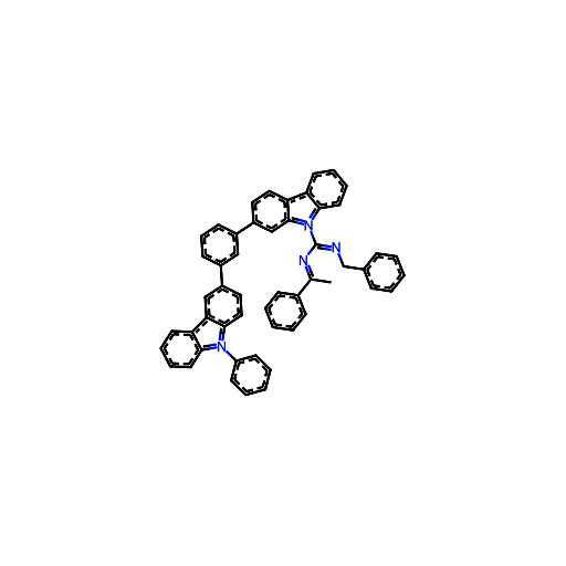 C/C(=N\C(=N/Cc1ccccc1)n1c2ccccc2c2ccc(-c3cccc(-c4ccc5c(c4)c4ccccc4n5-c4ccccc4)c3)cc21)c1ccccc1